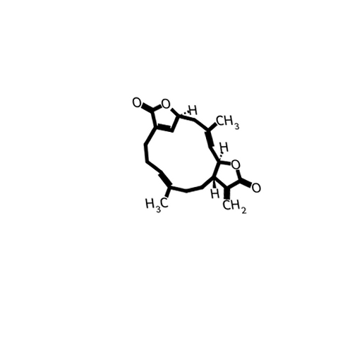 C=C1C(=O)O[C@@H]2/C=C(\C)C[C@H]3C=C(CC/C=C(\C)CC[C@@H]12)C(=O)O3